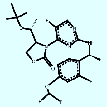 C[C@H](Nc1ncc(F)c(N2C(=O)OCC2[C@@H](C)OC(C)(C)C)n1)c1ccc(OC(F)F)cc1F